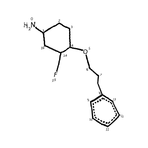 NC1CCC(OCCc2ccccc2)C(F)C1